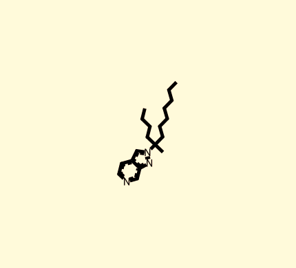 CCCCCCCC(C)(CCCC)n1cc2ccncc2n1